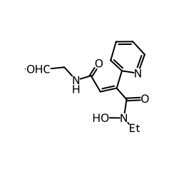 CCN(O)C(=O)C(=CC(=O)NC[C]=O)c1ccccn1